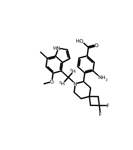 [2H]C([2H])(c1c(OC)cc(C)c2[nH]ccc12)N1CCC2(CC1c1ccc(C(=O)O)cc1N)CC(F)(F)C2